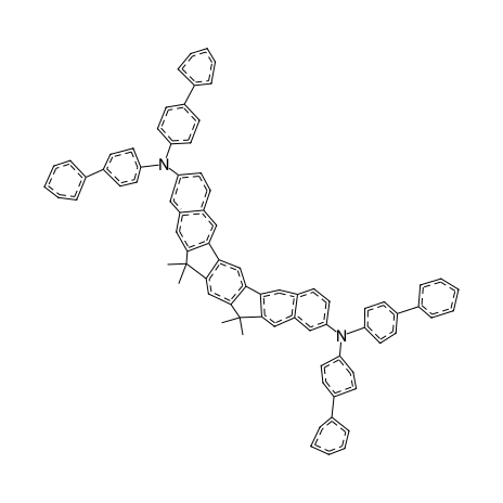 CC1(C)c2cc3c(cc2-c2cc4ccc(N(c5ccc(-c6ccccc6)cc5)c5ccc(-c6ccccc6)cc5)cc4cc21)-c1cc2ccc(N(c4ccc(-c5ccccc5)cc4)c4ccc(-c5ccccc5)cc4)cc2cc1C3(C)C